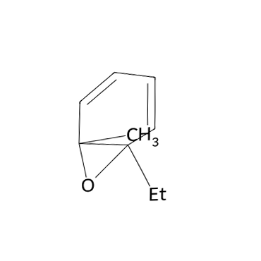 CCC12C=CC=CC1(C)O2